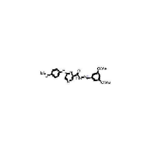 CCOc1ccc(Oc2cncc(C(=O)N/N=C/c3cc(OC)cc(OC)c3)n2)cc1